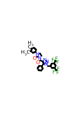 Cc1ccc(N2CCN(C(=O)c3nnn(Cc4cc(C(F)(F)F)cc(C(F)(F)F)c4)c3-c3ccccc3)C2=O)cc1C